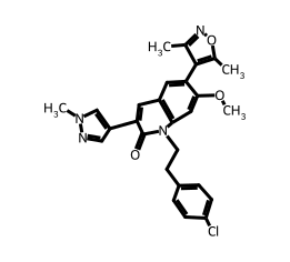 COc1cc2c(cc1-c1c(C)noc1C)cc(-c1cnn(C)c1)c(=O)n2CCc1ccc(Cl)cc1